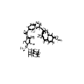 CCOc1cc2nc(-c3nnc4ccc([C@H](C)N5CCC(N)C5)cn34)ccc2cc1F.Cl.Cl.Cl